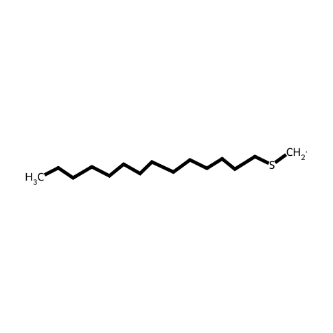 [CH2]SCCCCCCCCCCCCCC